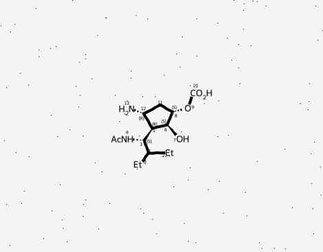 CCC(CC)[C@H](NC(C)=O)[C@@H]1[C@H](O)[C@@H](OC(=O)O)C[C@H]1N